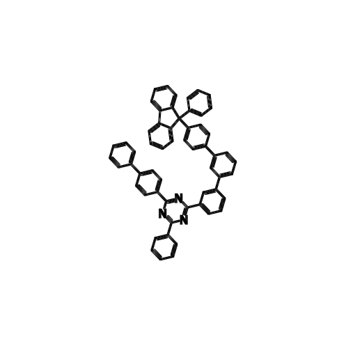 c1ccc(-c2ccc(-c3nc(-c4ccccc4)nc(-c4cccc(-c5cccc(-c6ccc(C7(c8ccccc8)c8ccccc8-c8ccccc87)cc6)c5)c4)n3)cc2)cc1